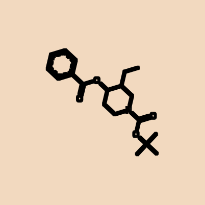 CCC1CN(C(=O)OC(C)(C)C)CCC1OC(=O)c1ccccc1